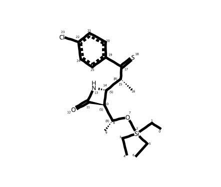 CC[Si](CC)(CC)O[C@H](C)[C@H]1C(=O)N[C@@H]1[C@@H](C)C(=S)c1ccc(Cl)cc1